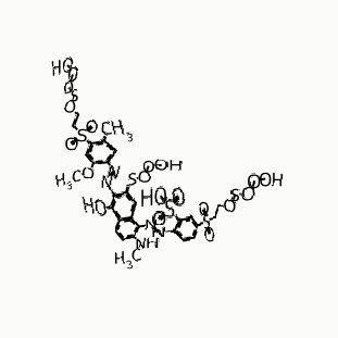 CNc1ccc2c(O)c(/N=N/c3cc(C)c(S(=O)(=O)CCOSOOO)cc3OC)c(SOOO)cc2c1/N=N/c1ccc(S(=O)(=O)CCOSOOO)cc1S(=O)(=O)O